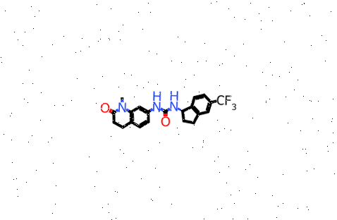 CN1C(=O)CCc2ccc(NC(=O)N[C@@H]3CCc4cc(C(F)(F)F)ccc43)cc21